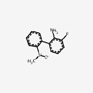 C[S+]([O-])c1ccccc1-c1cccc(F)c1N